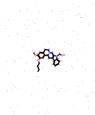 CCCCOc1cc2c(cc1OC)CCN1Cc3c(c4ccccc4n3CO)CC21